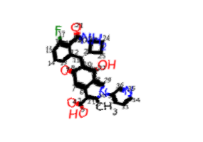 Cc1c(C(=O)O)c2cc(=O)c([C@H](c3cccc(F)c3C(N)=O)C3CCC3)c(O)c-2cn1-c1cccnc1